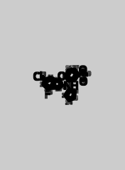 CS(=O)(=O)c1ccc(O[C@H]2c3cc(Cl)cc(F)c3C[C@@H]2NC2CCCC2)cc1